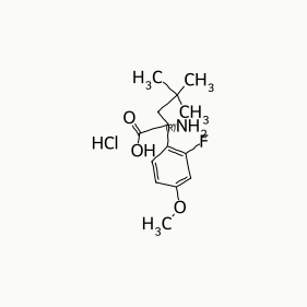 COc1ccc([C@](N)(CC(C)(C)C)C(=O)O)c(F)c1.Cl